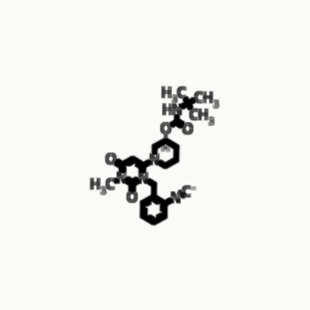 [C-]#[N+]c1ccccc1Cn1c(N2CCC[C@@H](OC(=O)NC(C)(C)C)C2)cc(=O)n(C)c1=O